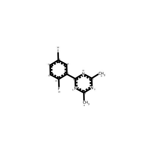 Cc1nc(C)nc(-c2cc(I)ccc2F)n1